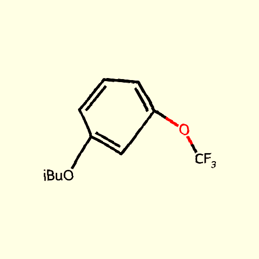 CC(C)COc1cccc(OC(F)(F)F)c1